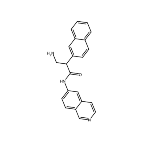 NCC(C(=O)Nc1ccc2cnccc2c1)c1ccc2ccccc2c1